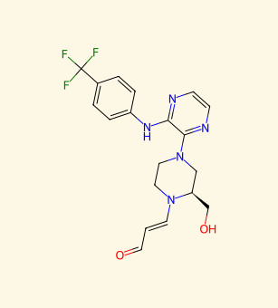 O=CC=CN1CCN(c2nccnc2Nc2ccc(C(F)(F)F)cc2)C[C@H]1CO